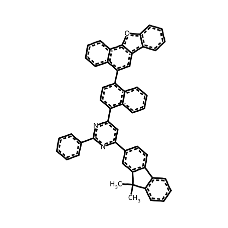 CC1(C)c2ccccc2-c2ccc(-c3cc(-c4ccc(-c5cc6c7ccccc7oc6c6ccccc56)c5ccccc45)nc(-c4ccccc4)n3)cc21